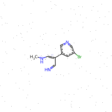 CN/C=C(\C=N)c1cncc(Br)c1